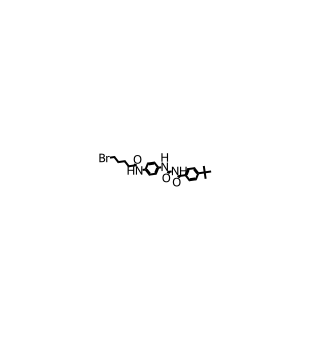 CC(C)(C)c1ccc(C(=O)NC(=O)Nc2ccc(NC(=O)CCCCBr)cc2)cc1